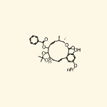 CCCOc1cc(O)c2c(c1)/C=C/C[C@@H]1OC(C)(C)OC1C(OC(=O)c1ccccc1)/C=C\[C@@H](C)[C@H](C)OC2=O